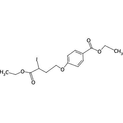 CCOC(=O)c1ccc(OCCC(I)C(=O)OCC)cc1